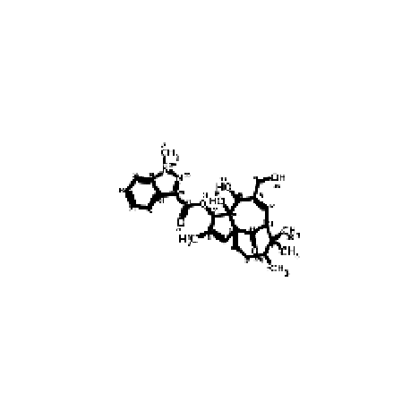 CC1=CC23CCC(C)C(C)(C)C(C=C(CO)C(O)C2(O)C1OC(=O)c1nn(C)c2ccccc12)C3=O